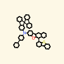 c1ccc(-c2ccc(N(c3ccc4c(c3)C3(c5ccccc5-c5ccccc53)c3ccccc3-4)c3ccc4c(c3)oc3c(-c5cccc6c5sc5ccccc56)c5ccccc5cc34)cc2)cc1